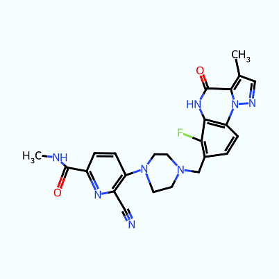 CNC(=O)c1ccc(N2CCN(Cc3ccc4c([nH]c(=O)c5c(C)cnn54)c3F)CC2)c(C#N)n1